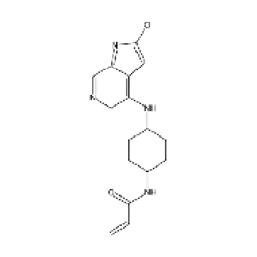 C=CC(=O)NC1CCC(NC2=C3C=C(Cl)N=C3C=NC2)CC1